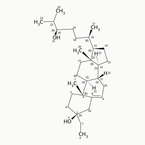 CC[C@]1(O)CC[C@@]2(C)C(=CC[C@H]3[C@@H]4CC[C@H]([C@H](C)CC[C@@H](O)C(C)C)[C@@]4(C)CC[C@@H]32)C1